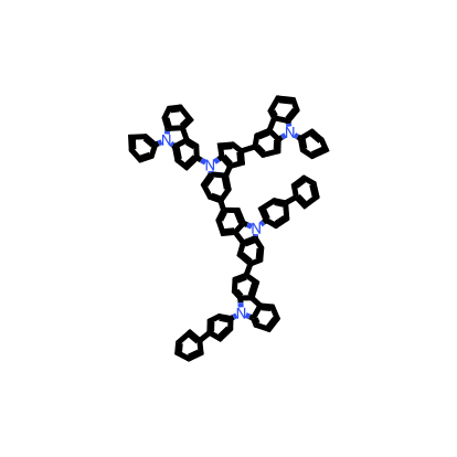 c1ccc(-c2ccc(-n3c4ccccc4c4cc(-c5ccc6c(c5)c5ccc(-c7ccc8c(c7)c7cc(-c9ccc%10c(c9)c9ccccc9n%10-c9ccccc9)ccc7n8-c7ccc8c(c7)c7ccccc7n8-c7ccccc7)cc5n6-c5ccc(-c6ccccc6)cc5)ccc43)cc2)cc1